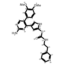 COc1ccc(-c2cnc(N)nc2-c2c[nH]c(OC(=O)NCCc3cccnc3)c2)cc1OC